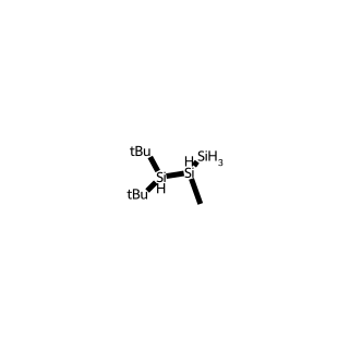 C[SiH]([SiH3])[SiH](C(C)(C)C)C(C)(C)C